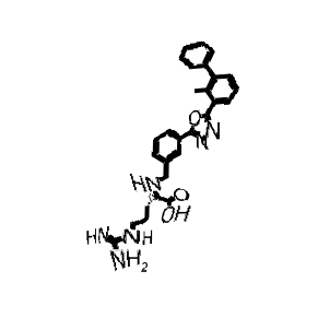 Cc1c(-c2ccccc2)cccc1-c1nnc(-c2cccc(CN[C@@H](CCCNC(=N)N)C(=O)O)c2)o1